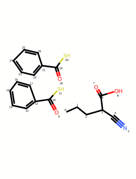 CCCC(C#N)C(=O)O.O=C(S)c1ccccc1.O=C(S)c1ccccc1